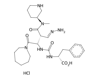 CN(C(=O)[C@H](C=NN)C(NC(=O)N[C@H](Cc1ccccc1)C(=O)O)C(=O)N1CCCCCC1)[C@H]1CCCNC1.Cl